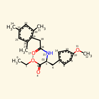 CCOC(=O)[C@H](Cc1ccc(OC)cc1)NC(=O)Cc1c(C)cc(C)cc1C